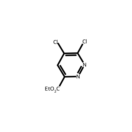 CCOC(=O)c1cc(Cl)c(Cl)nn1